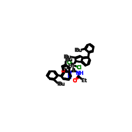 CCC(=O)N[B](NC(=O)CC)[Hf]([Cl])([Cl])([CH]1C(C(C)CC)=Cc2c(-c3ccccc3C(C)CC)cccc21)[CH]1C(C(C)CC)=Cc2c(-c3ccccc3C(C)CC)cccc21